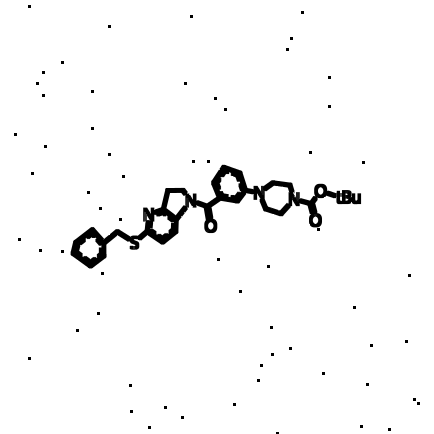 CC(C)(C)OC(=O)N1CCN(c2cccc(C(=O)N3CCc4nc(SCc5ccccc5)ccc43)c2)CC1